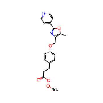 CCC(C)OOC(=O)CCc1ccc(OCc2nc(-c3ccncc3)oc2C)cc1